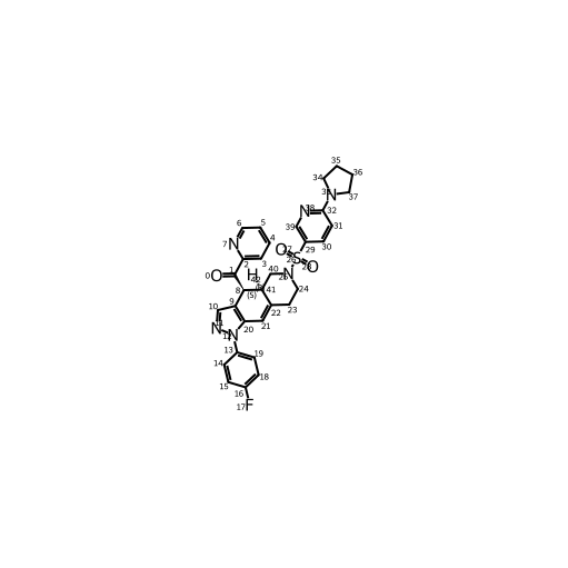 O=C(c1ccccn1)[C@@H]1c2cnn(-c3ccc(F)cc3)c2C=C2CCN(S(=O)(=O)c3ccc(N4CCCC4)nc3)C[C@@H]21